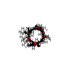 CCCC[C@H]1C(=O)N(C)[C@@H](CCCC)C(=O)NC(CCCNC(=N)N)C(=O)N[C@H](C(=O)NCC(N)=O)CSCC(=O)N[C@@H](Cc2ccc(O)cc2)C(=O)N(C)[C@@H](C)C(=O)N[C@@H](CC(N)=O)C(=O)N2CCC[C@H]2C(=O)N[C@@H](CN)C(=O)N[C@@H](CC(C)C)C(=O)N2C[C@H](O)CC2C(=O)N[C@@H](Cc2c[nH]c3ccccc23)C(=O)N[C@@H](CO)C(=O)N[C@@H](Cc2c(-c3ccc(OC)cc3)[nH]c3ccccc23)C(=O)N1C